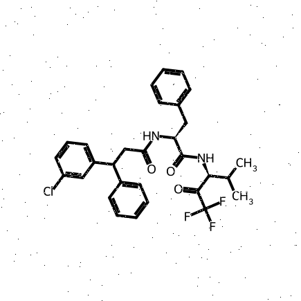 CC(C)[C@H](NC(=O)[C@H](Cc1ccccc1)NC(=O)CC(c1ccccc1)c1cccc(Cl)c1)C(=O)C(F)(F)F